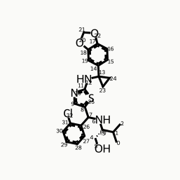 CC(C)[C@H](CO)NC(c1cnc(NC2(c3ccc4c(c3)OCO4)CC2)s1)c1ccccc1Cl